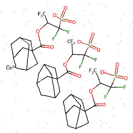 O=C(OC(C(F)(F)F)C(F)(F)S(=O)(=O)[O-])C12CC3CC(CC(C3)C1)C2.O=C(OC(C(F)(F)F)C(F)(F)S(=O)(=O)[O-])C12CC3CC(CC(C3)C1)C2.O=C(OC(C(F)(F)F)C(F)(F)S(=O)(=O)[O-])C12CC3CC(CC(C3)C1)C2.[Ce+3]